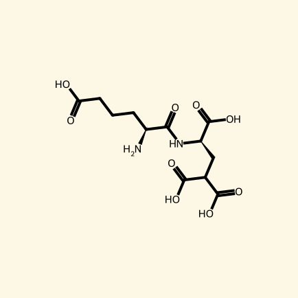 N[C@@H](CCCC(=O)O)C(=O)N[C@H](CC(C(=O)O)C(=O)O)C(=O)O